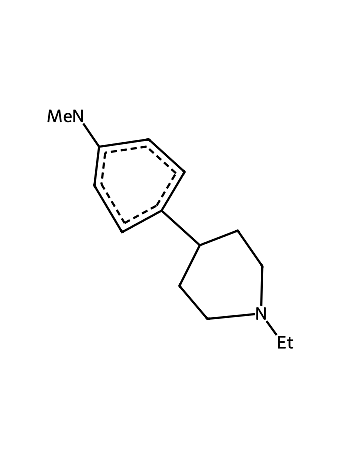 CCN1CCC(c2ccc(NC)cc2)CC1